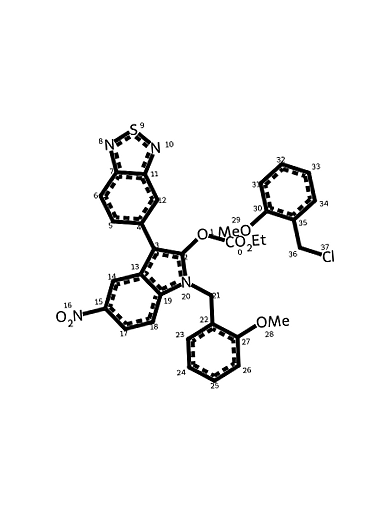 CCOC(=O)Oc1c(-c2ccc3nsnc3c2)c2cc([N+](=O)[O-])ccc2n1Cc1ccccc1OC.COc1ccccc1CCl